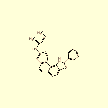 C=C(/C=C\C)Nc1ccc2c(ccc3ccc4c(c32)NC(c2ccccc2)S4)c1